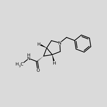 CNC(=O)[C@@H]1[C@@H]2CN(Cc3ccccc3)C[C@@H]21